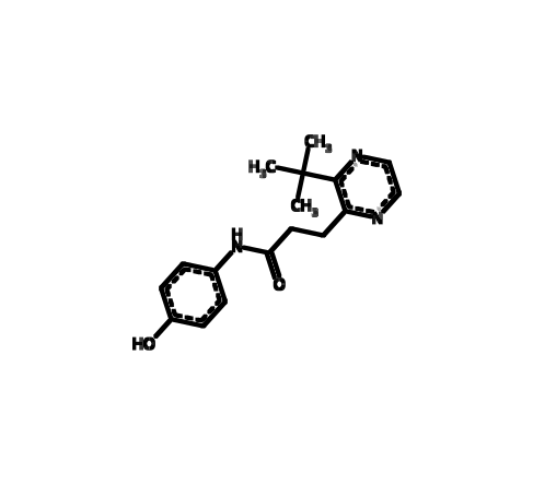 CC(C)(C)c1nccnc1CCC(=O)Nc1ccc(O)cc1